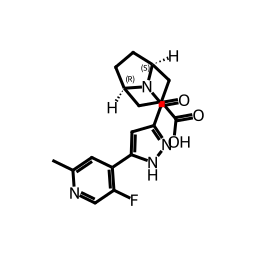 Cc1cc(-c2cc(C(=O)N3[C@@H]4CC[C@H]3CC(C(=O)O)C4)n[nH]2)c(F)cn1